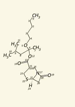 CCCCCOC(C)(CC(C)C)OC(=O)C1=CN2C(=O)C[C@H]2SC1